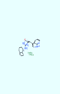 Cl.Cl.O=C1NC(N[C@H]2CCCc3ccccc32)=N/C1=C\c1c[nH]c2ncccc12